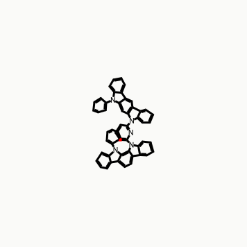 c1ccc(-n2c3ccccc3c3cc4c5ccccc5n(-c5cccc(-n6c7ccccc7c7ccc8c9ccccc9n(-c9ccccc9)c8c76)n5)c4cc32)cc1